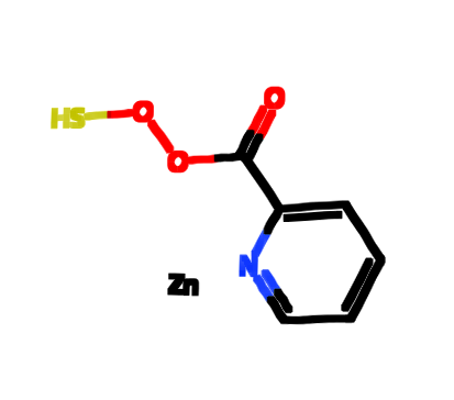 O=C(OOS)c1ccccn1.[Zn]